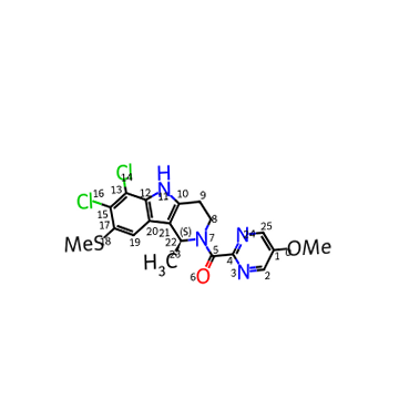 COc1cnc(C(=O)N2CCc3[nH]c4c(Cl)c(Cl)c(SC)cc4c3[C@@H]2C)nc1